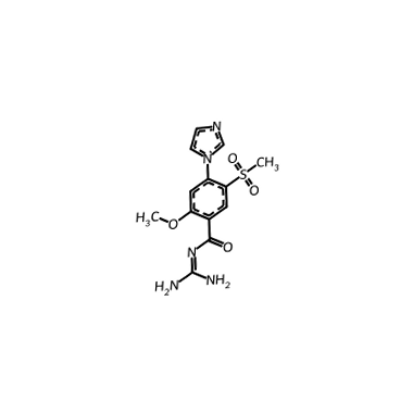 COc1cc(-n2ccnc2)c(S(C)(=O)=O)cc1C(=O)N=C(N)N